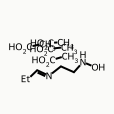 CC(=O)O.CC(=O)O.CC(=O)O.CC(=O)O.CCC=NCCNO